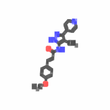 COc1ccc(C=CC(=O)Nc2[nH]nc(-c3ccncc3)c2C)cc1